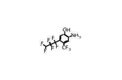 Nc1cc(C(F)(F)F)c(C(F)(F)C(F)(F)C(F)F)cc1O